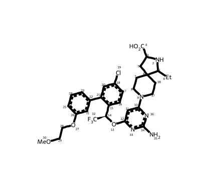 CCC1NC(C(=O)O)CC12CCN(c1cc(O[C@H](c3ccc(Cl)cc3-c3cccc(OCCOC)c3)C(F)(F)F)nc(N)n1)CC2